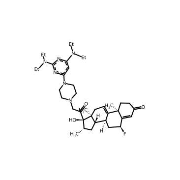 CCN(CC)c1cc(N2CCN(CC(=O)[C@@]3(O)[C@@H](C)C[C@H]4[C@@H]5C[C@H](F)C6=CC(=O)CC[C@]6(C)C5=CC[C@@]43C)CC2)nc(N(CC)CC)n1